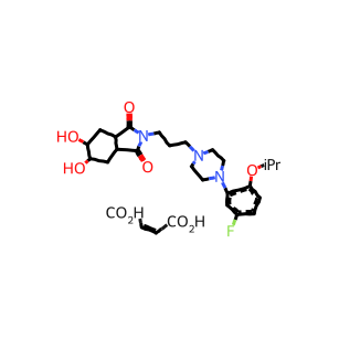 CC(C)Oc1ccc(F)cc1N1CCN(CCCN2C(=O)C3CC(O)C(O)CC3C2=O)CC1.O=C(O)/C=C\C(=O)O